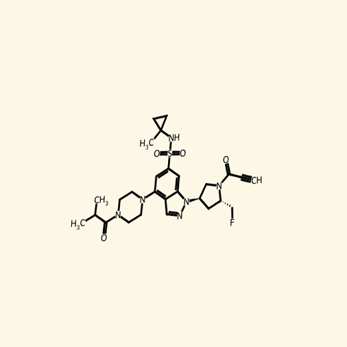 C#CC(=O)N1C[C@H](n2ncc3c(N4CCN(C(=O)C(C)C)CC4)cc(S(=O)(=O)NC4(C)CC4)cc32)C[C@H]1CF